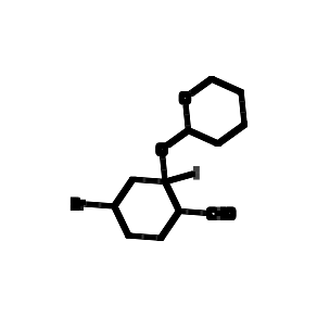 O=CC1CCC(Br)CC1(I)OC1CCCCO1